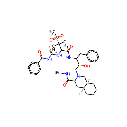 CC(C)(C)NC(=O)C1C[C@@H]2CCCC[C@@H]2CN1CC(O)C(Cc1ccccc1)NC(=O)[C@@H](NC(=S)NC(=O)c1ccccc1)C(C)(C)S(C)(=O)=O